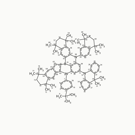 CC(C)(C)c1ccc(N2c3cc(N4c5ccccc5C(C)(C)c5ccccc54)cc4c3B(c3cc5c(cc3N4c3ccc4c(c3)C(C)(C)CCC4(C)C)C(C)(C)CCC5(C)C)c3oc4cc5c(cc4c32)C(C)(C)CCC5(C)C)cc1